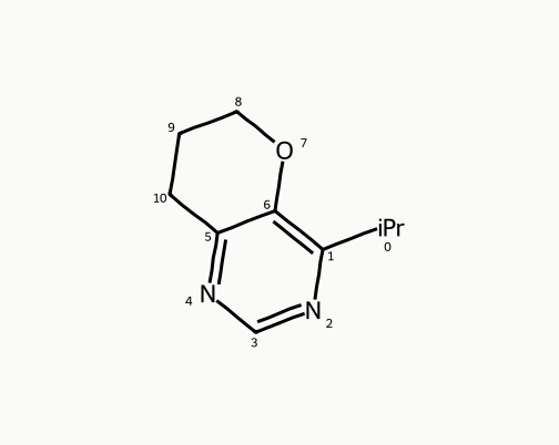 CC(C)c1ncnc2c1OCCC2